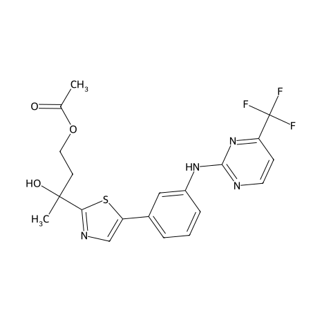 CC(=O)OCCC(C)(O)c1ncc(-c2cccc(Nc3nccc(C(F)(F)F)n3)c2)s1